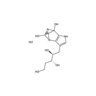 Cl.OCC[C@@H](O)[C@@H](O)Cc1c[nH]c2c1N1NC2(O)N=C1O